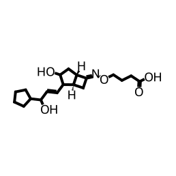 O=C(O)CCCON=C1C[C@H]2C(C=CC(O)C3CCCC3)C(O)C[C@H]12